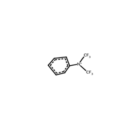 FC(F)(F)[N+](c1ccccc1)C(F)(F)F